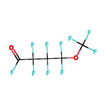 O=C(F)C(F)(F)C(F)(F)C(F)(F)OC(F)(F)F